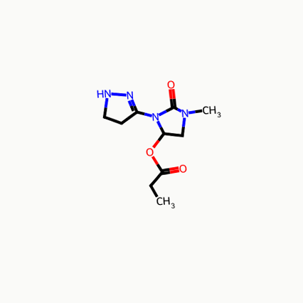 CCC(=O)OC1CN(C)C(=O)N1C1=NNCC1